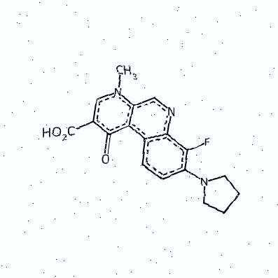 Cn1cc(C(=O)O)c(=O)c2c3ccc(N4CCCC4)c(F)c3ncc21